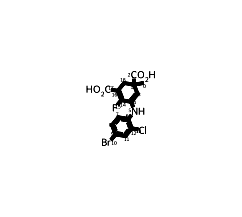 CC1(C(=O)O)C=C(Nc2ccc(Br)cc2Cl)C(F)=C(C(=O)O)C1